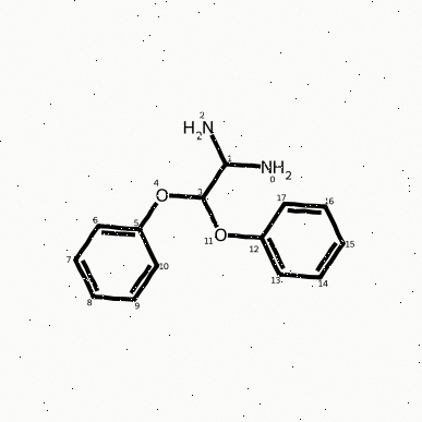 NC(N)C(Oc1ccccc1)Oc1ccccc1